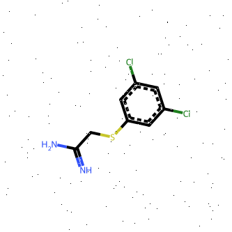 N=C(N)CSc1cc(Cl)cc(Cl)c1